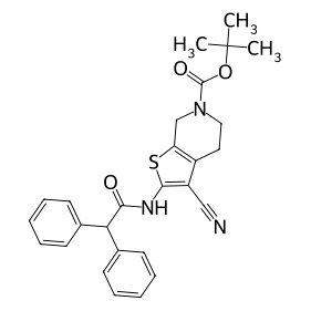 CC(C)(C)OC(=O)N1CCc2c(sc(NC(=O)C(c3ccccc3)c3ccccc3)c2C#N)C1